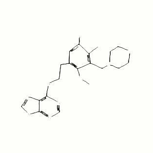 COc1c(CCNc2ncnc3[nH]cnc23)cc(Cl)c(F)c1CN1CCOCC1